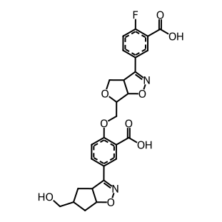 O=C(O)c1cc(C2=NOC3C(COc4ccc(C5=NOC6CC(CO)CC56)cc4C(=O)O)OCC23)ccc1F